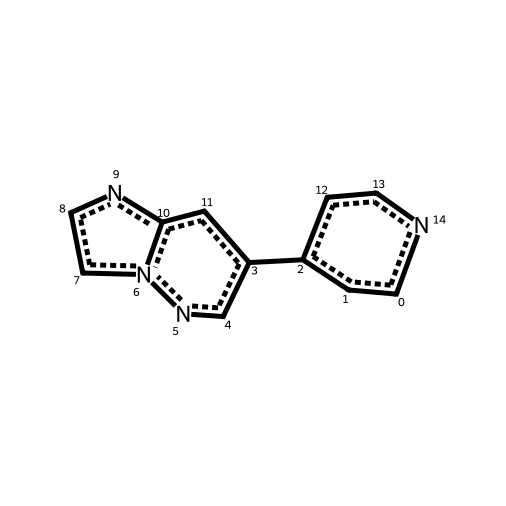 c1cc(-c2cnn3ccnc3c2)ccn1